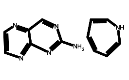 C1=CC=CNC=C1.Nc1ncc2nccnc2n1